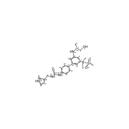 C[C@@H](CO)Nc1cc(C(C)(C)S(C)(=O)=O)nc(-c2ccc(NC(=O)NCc3cc[nH]n3)cc2)n1